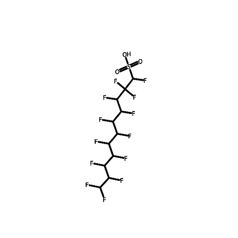 O=S(=O)(O)C(F)C(F)(F)C(F)C(F)C(F)C(F)C(F)C(F)C(F)C(F)C(F)F